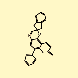 C=C/C=C\c1c(C)c(-c2ccccc2)cc2c1OC1(C=N2)Cc2ccccc2C1